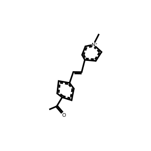 CC(=O)c1ccc(/C=C/c2cc[n+](C)cc2)cc1